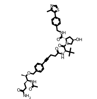 CC(=O)N[C@@H](CCC(N)=O)[C@@H](C)OCc1ccc(C#CCCC(=O)N[C@H](C(=O)N2C[C@H](O)C[C@H]2C(=O)NCc2ccc(-c3scnc3C)cc2)C(C)(C)C)cc1